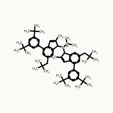 CC1=Cc2c(-c3cc(C(C)(C)C)cc(C(C)(C)C)c3)cc(CC(C)(C)C)cc2[CH]1[Zr]([CH]1C(C)=Cc2c(-c3cc(C(C)(C)C)cc(C(C)(C)C)c3)cc(CC(C)(C)C)cc21)[SiH](C)C